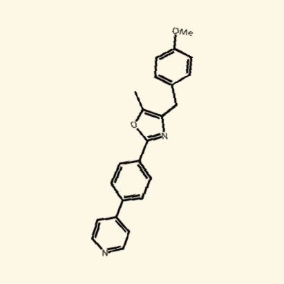 COc1ccc(Cc2nc(-c3ccc(-c4ccncc4)cc3)oc2C)cc1